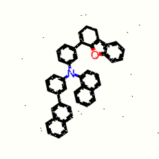 C1=C(c2cccc(N(c3cccc(-c4ccc5ccccc5c4)c3)c3cccc4ccccc34)c2)c2oc3ccccc3c2CC1